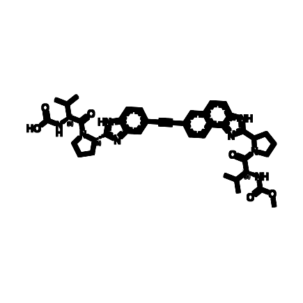 COC(=O)N[C@H](C(=O)N1CCCC1c1nc2c(ccc3cc(C#Cc4ccc5[nH]c([C@@H]6CCCN6C(=O)[C@@H](NC(=O)O)C(C)C)nc5c4)ccc32)[nH]1)C(C)C